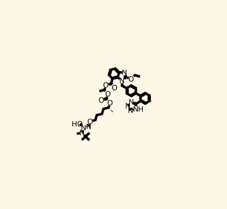 CCOc1nc2cccc(C(=O)OC(C)OC(=O)O[C@H](C)CCCCO/N=[N+](\O)N(C)C(C)(C)C)c2n1Cc1ccc(-c2ccccc2-c2nnn[nH]2)cc1